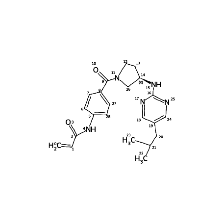 C=CC(=O)Nc1ccc(C(=O)N2CC[C@@H](Nc3ncc(CC(C)C)cn3)C2)cc1